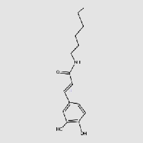 CCCCCCNC(=O)/C=C/c1ccc(O)c(O)c1